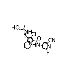 CC(CO)NSc1c(Cl)c(C(=O)Nc2cc(F)nc(C#N)c2)n2c1C=CCC2